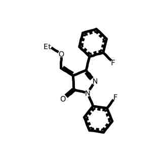 CCOC=C1C(=O)N(c2ccccc2F)N=C1c1ccccc1F